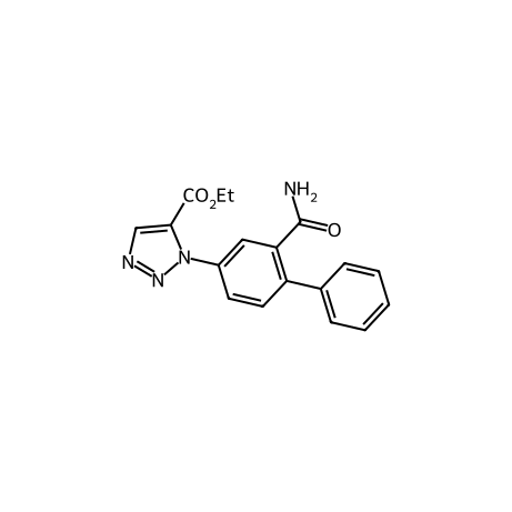 CCOC(=O)c1cnnn1-c1ccc(-c2ccccc2)c(C(N)=O)c1